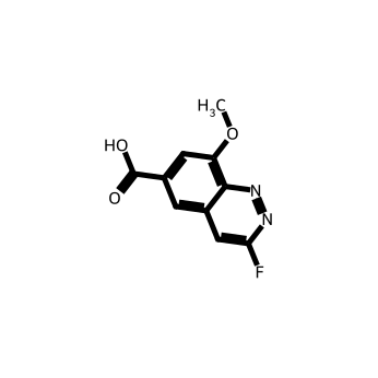 COc1cc(C(=O)O)cc2cc(F)nnc12